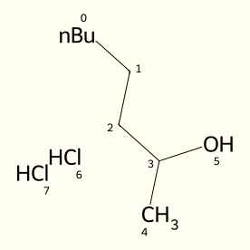 CCCCCCC(C)O.Cl.Cl